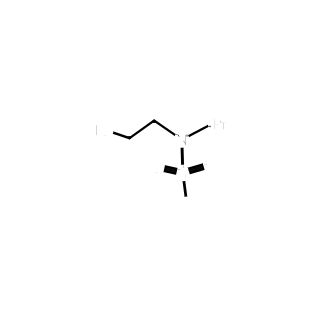 CC(C)N(CCO)S(C)(=O)=O